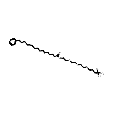 CC(C)(C)CCCOCCOCCOCCNC(=O)CCCCCCCCCCCCCCc1ccccc1